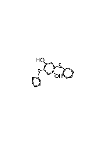 Oc1cc(Sc2ccccc2)c(O)cc1Sc1ccccc1